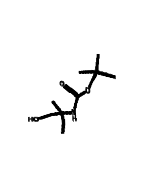 CC(C)(O)NC(=O)OC(C)(C)C